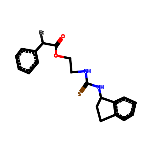 CCC(C(=O)OCCNC(=S)NC1CCc2ccccc21)c1ccccc1